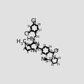 Cn1ccc2nc(-c3ccc(C(=O)N4CCC[C@H]4C#N)cc3)nc(NCc3ccc(Cl)cc3Cl)c21